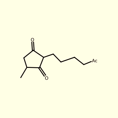 CC(=O)CCCCC1C(=O)CC(C)C1=O